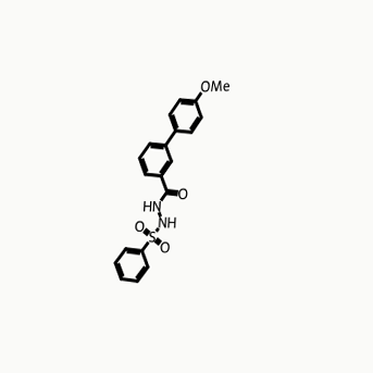 COc1ccc(-c2cccc(C(=O)NNS(=O)(=O)c3ccccc3)c2)cc1